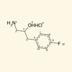 Cl.NCC(O)Cc1ccc(F)cc1